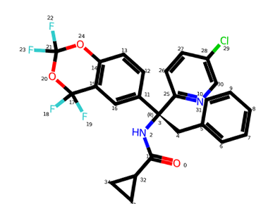 O=C(N[C@](Cc1ccccc1)(c1ccc2c(c1)C(F)(F)OC(F)(F)O2)c1ccc(Cl)cn1)C1CC1